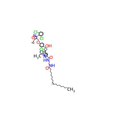 CCCCCCCC/C=C\CCCCCCCC(=O)NCCNC(=O)c1cc(C2CC(O)(c3ccc(OCc4c(-c5c(Cl)cccc5Cl)noc4C4CC4)cc3Cl)C2)n(C(C)C)n1